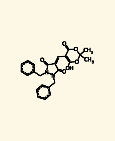 CC1(C)OC(=O)C(C=C2C(=O)N(Cc3ccccc3)N(Cc3ccccc3)C2=O)=C(O)O1